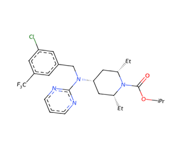 CC[C@@H]1C[C@H](N(Cc2cc(Cl)cc(C(F)(F)F)c2)c2ncccn2)C[C@H](CC)N1C(=O)OC(C)C